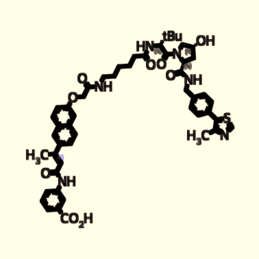 C/C(=C\C(=O)Nc1cccc(C(=O)O)c1)c1ccc2cc(OCC(=O)NCCCCCC(=O)N[C@H](C(=O)N3C[C@H](O)C[C@H]3C(=O)NCc3ccc(-c4scnc4C)cc3)C(C)(C)C)ccc2c1